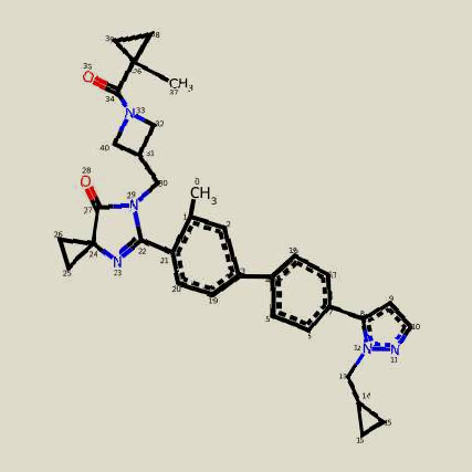 Cc1cc(-c2ccc(-c3ccnn3CC3CC3)cc2)ccc1C1=NC2(CC2)C(=O)N1CC1CN(C(=O)C2(C)CC2)C1